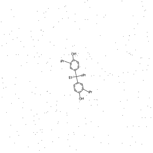 CCCC(CC)(c1ccc(O)c(C(C)C)c1)c1ccc(O)c(C(C)C)c1